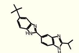 CC(C)c1nc2cc(-c3nc4cc(C(C)(C)C)ccc4[nH]3)ccc2[nH]1